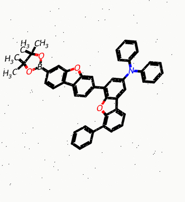 CC1(C)OB(c2ccc3c(c2)oc2cc(-c4cc(N(c5ccccc5)c5ccccc5)cc5c4oc4c(-c6ccccc6)cccc45)ccc23)OC1(C)C